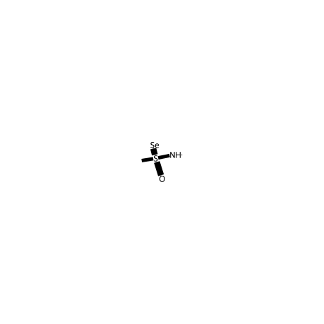 CS([NH])(=O)=[Se]